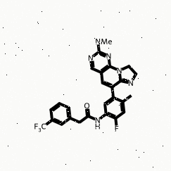 CNc1ncc2c(n1)N1CCN=C1C(c1cc(NC(=O)Cc3cccc(C(F)(F)F)c3)c(F)cc1C)=C2